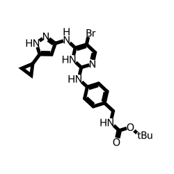 CC(C)(C)OC(=O)NCc1ccc(NC2N=CC(Br)=C(Nc3cc(C4CC4)[nH]n3)N2)cc1